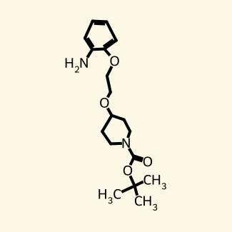 CC(C)(C)OC(=O)N1CCC(OCCOc2ccccc2N)CC1